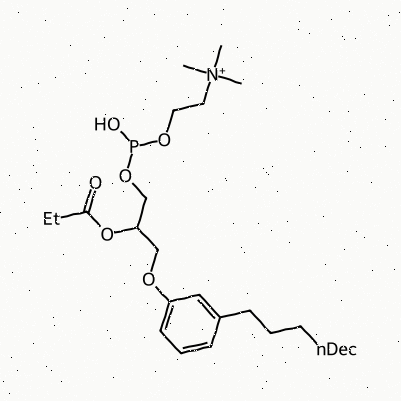 CCCCCCCCCCCCCc1cccc(OCC(COP(O)OCC[N+](C)(C)C)OC(=O)CC)c1